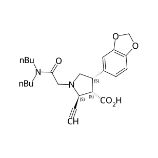 C#C[C@@H]1[C@@H](C(=O)O)[C@@H](c2ccc3c(c2)OCO3)CN1CC(=O)N(CCCC)CCCC